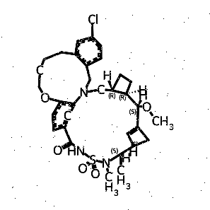 CO[C@@H]1C2=C[C@H](C2)[C@H](C)N(C)S(=O)(=O)NC(=O)c2ccc3c(c2)N(Cc2ccc(Cl)cc2CCCCO3)C[C@@H]2CC[C@H]21